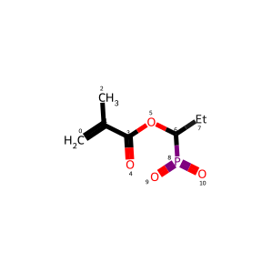 C=C(C)C(=O)OC(CC)P(=O)=O